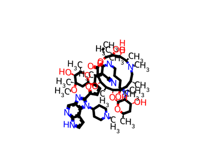 CC[C@H]1OC(=O)[C@H](C)[C@@H](O[C@H]2C[C@@](C)(OC)[C@@H](O)[C@H](C)O2)[C@H](C)[C@@H](O[C@@H]2O[C@H](C)C[C@@H](O)[C@@H]2N(C)CCCCN(C)C(=O)C(C#N)=Cc2ccc(-c3nc4cnc5[nH]ccc5c4n3C3CCN(C)CC3)o2)[C@](C)(O)C[C@@H](C)CN(C)[C@H](C)[C@@H](O)[C@]1(C)O